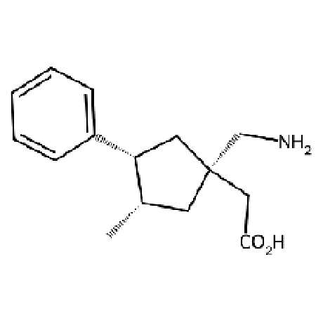 C[C@H]1C[C@](CN)(CC(=O)O)C[C@H]1c1ccccc1